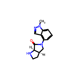 Cn1ncc2c(N3C[C@H]4CCN[C@H]4C3=O)cccc21